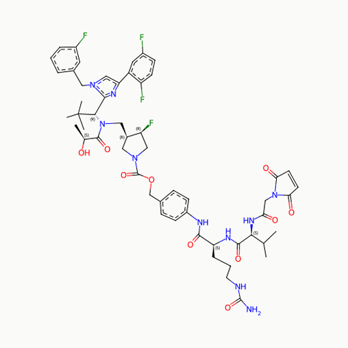 CC(C)[C@H](NC(=O)CN1C(=O)C=CC1=O)C(=O)N[C@@H](CCCNC(N)=O)C(=O)Nc1ccc(COC(=O)N2C[C@@H](CN(C(=O)[C@H](C)O)[C@@H](c3nc(-c4cc(F)ccc4F)cn3Cc3cccc(F)c3)C(C)(C)C)[C@@H](F)C2)cc1